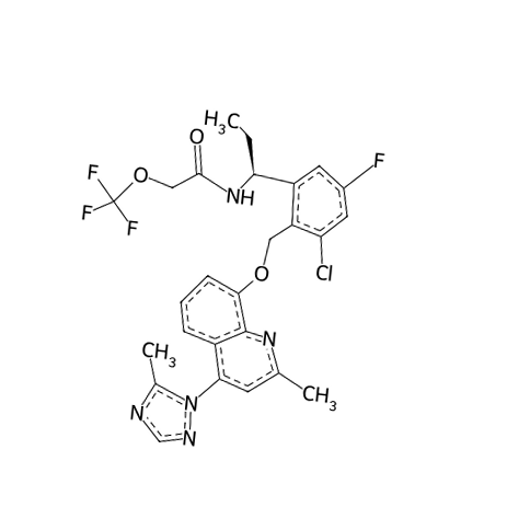 CC[C@H](NC(=O)COC(F)(F)F)c1cc(F)cc(Cl)c1COc1cccc2c(-n3ncnc3C)cc(C)nc12